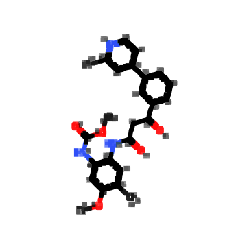 CCOc1cc(NC(=O)OC(C)(C)C)c(NC(=O)CC(=O)c2cccc(-c3ccnc(C(C)C)c3)c2)cc1C(F)(F)F